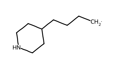 [CH2]CCCC1CCNCC1